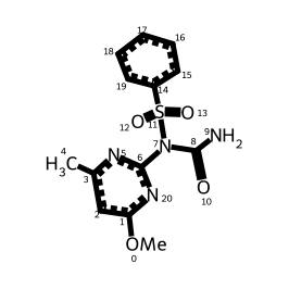 COc1cc(C)nc(N(C(N)=O)S(=O)(=O)c2ccccc2)n1